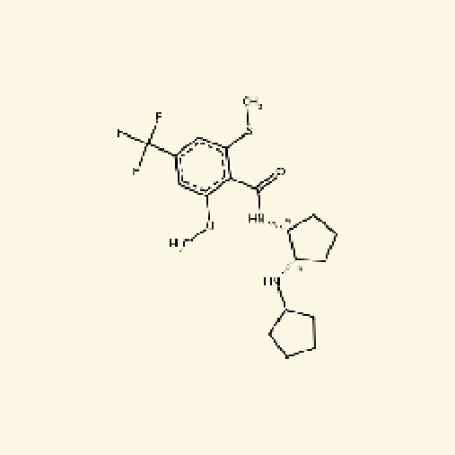 COc1cc(C(F)(F)F)cc(SC)c1C(=O)N[C@@H]1CCC[C@@H]1NC1CCCC1